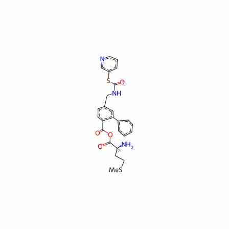 CSCC[C@H](N)C(=O)OC(=O)c1ccc(CNC(=O)Sc2cccnc2)cc1-c1ccccc1